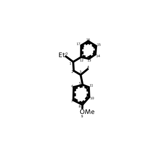 CCC(CC(C)c1ccc(OC)cc1)c1ccccc1